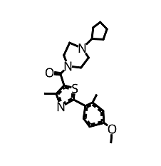 COc1ccc(-c2nc(C)c(C(=O)N3CCN(C4CCCC4)CC3)s2)c(C)c1